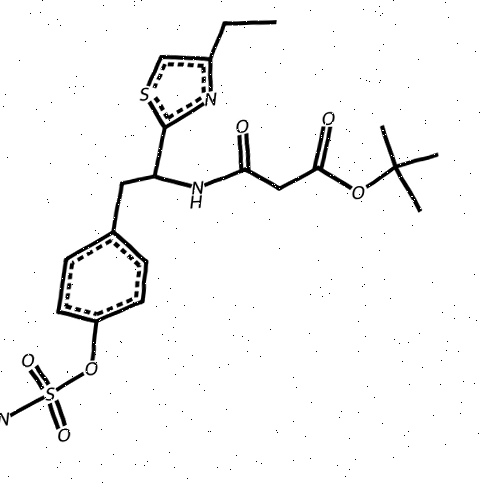 CCc1csc(C(Cc2ccc(OS(N)(=O)=O)cc2)NC(=O)CC(=O)OC(C)(C)C)n1